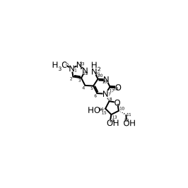 Cn1cc(Cc2cn([C@@H]3O[C@H](CO)C(O)[C@@H]3O)c(=O)nc2N)nn1